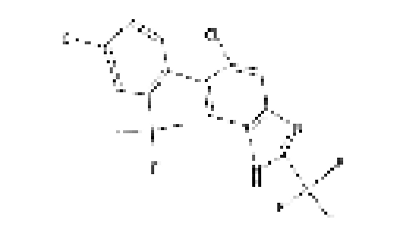 FC(F)(F)c1nc2cc(Cl)c(-c3ccc(Cl)cc3C(F)(F)F)cc2[nH]1